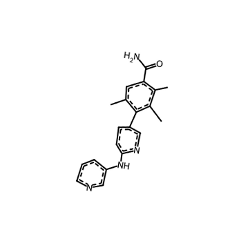 Cc1cc(C(N)=O)c(C)c(C)c1-c1ccc(Nc2cccnc2)nc1